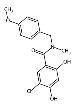 COc1ccc(CN(C)C(=O)c2cc(Cl)c(O)cc2O)cc1